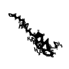 CC[C@H]1CC2C3CCC(CCCONCCCCC=O)C3(C)CC[C@]2(N)C2(C)CCCCC12